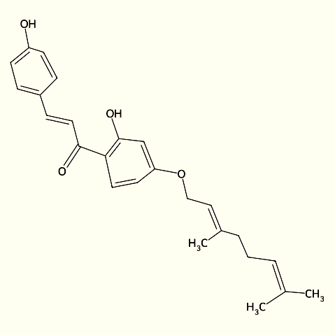 CC(C)=CCC/C(C)=C/COc1ccc(C(=O)/C=C/c2ccc(O)cc2)c(O)c1